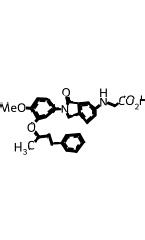 COc1ccc(N2Cc3ccc(NCC(=O)O)cc3C2=O)cc1OC(C)CCc1ccccc1